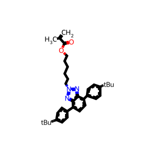 C=C(C)C(=O)OCCCCCCn1nc2c(-c3ccc(C(C)(C)C)cc3)ccc(-c3ccc(C(C)(C)C)cc3)c2n1